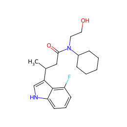 CC(CC(=O)N(CCO)C1CCCCC1)c1c[nH]c2cccc(F)c12